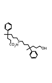 CC(CCCO)(CCCSCCCC(C)(CCC(=O)O)c1ccccc1)c1ccccc1